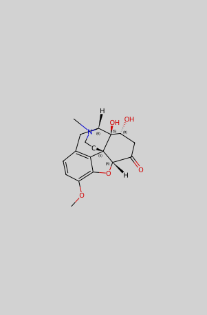 COc1ccc2c3c1O[C@H]1C(=O)C[C@@H](O)[C@@]4(O)[C@@H](C2)N(C)CC[C@]314